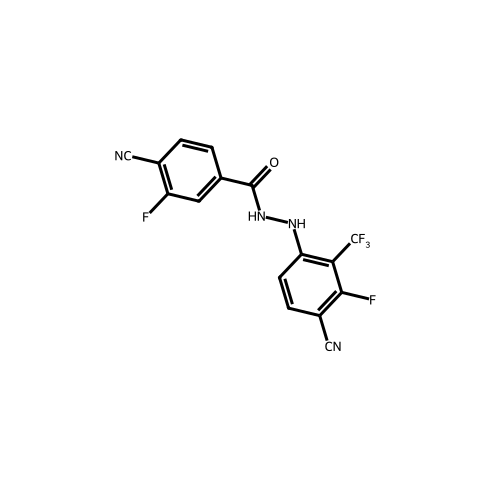 N#Cc1ccc(C(=O)NNc2ccc(C#N)c(F)c2C(F)(F)F)cc1F